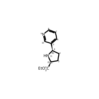 CCOC(=O)[C@@H]1CC[C@H](c2cccnc2)N1